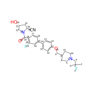 CC(C)(F)CN1CCC(COc2ccc(-c3ccc(C(=O)N4C[C@H](O)C[C@H]4C#N)c(F)c3)cc2)CC1